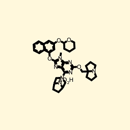 Cn1c(Oc2cc(OC3CCCCO3)cc3ccccc23)nc2c(N3CC4CCC(C3)N4C(=O)O)nc(OCC34CCCN3CCC4)nc21